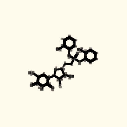 Cc1cn(C2O[C@H](CCP(=O)(Oc3ccccc3Cl)Oc3ccccc3Cl)[C@@H](O)[C@H]2F)c(=O)[nH]c1=O